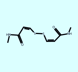 CNC(=O)/C=C\SS/C=C\C(=O)NC